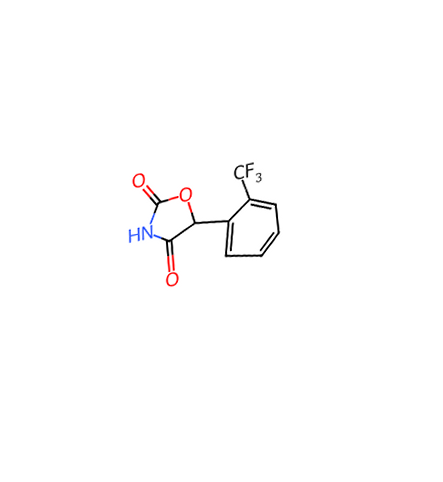 O=C1NC(=O)C(c2ccccc2C(F)(F)F)O1